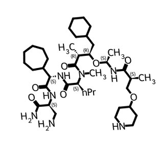 CCC[C@@H](C(=O)N[C@H](C(=O)N[C@@H](CN)C(N)=O)C1CCCCCC1)N(C)C(=O)[C@H](C)[C@@H](CC1CCCCC1)O[C@@H](C)NC(=O)[C@@H](C)COC1CCNCC1